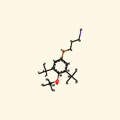 CC(C)(C)c1cc(SCCCI)cc(C(C)(C)C)c1O[Si](C)(C)C